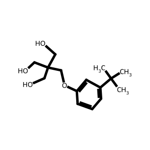 CC(C)(C)c1cccc(OCC(CO)(CO)CO)c1